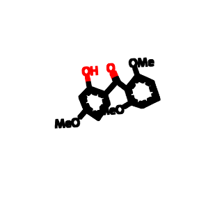 COc1ccc(C(=O)c2c(OC)cccc2OC)c(O)c1